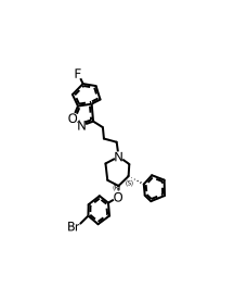 Fc1ccc2c(CCCN3CC[C@@H](Oc4ccc(Br)cc4)[C@@H](c4ccccc4)C3)noc2c1